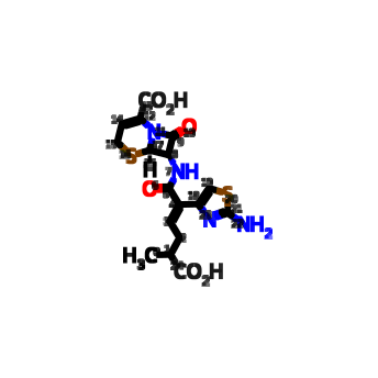 CC(C/C=C(/C(=O)N[C@@H]1C(=O)N2C(C(=O)O)=CCS[C@H]12)c1csc(N)n1)C(=O)O